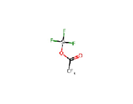 O=C(O[Si](F)(F)F)C(F)(F)F